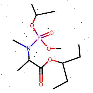 CCC(CC)OC(=O)C(C)N(C)P(=O)(OC)OC(C)C